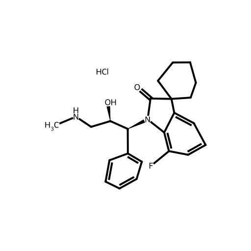 CNC[C@@H](O)[C@H](c1ccccc1)N1C(=O)C2(CCCCC2)c2cccc(F)c21.Cl